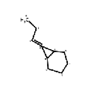 CCC=C1C2CCCCC12